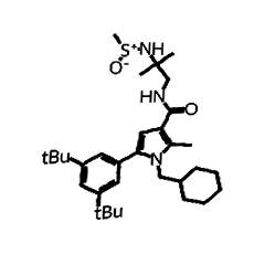 Cc1c(C(=O)NCC(C)(C)N[S+](C)[O-])cc(-c2cc(C(C)(C)C)cc(C(C)(C)C)c2)n1CC1CCCCC1